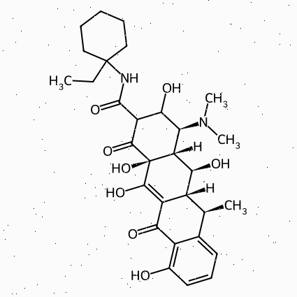 CCC1(NC(=O)C2C(=O)[C@@]3(O)C(O)=C4C(=O)c5c(O)cccc5[C@H](C)[C@H]4[C@H](O)[C@H]3[C@H](N(C)C)C2O)CCCCC1